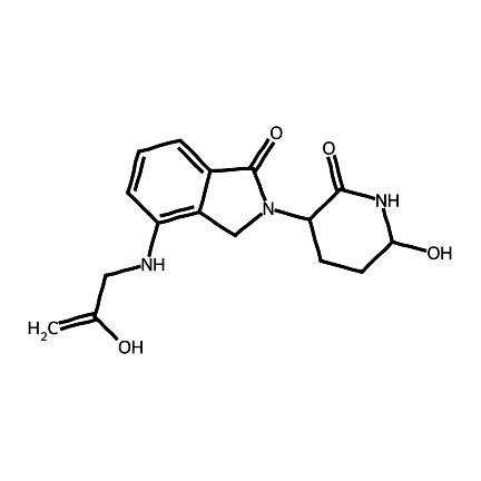 C=C(O)CNc1cccc2c1CN(C1CCC(O)NC1=O)C2=O